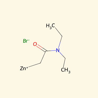 CCN(CC)C(=O)[CH2][Zn+].[Br-]